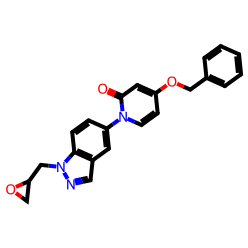 O=c1cc(OCc2ccccc2)ccn1-c1ccc2c(cnn2CC2CO2)c1